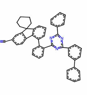 N#Cc1ccc2c(c1)C1(CCCCC1)c1cccc(-c3ccccc3-c3nc(-c4ccccc4)nc(-c4cccc(-c5ccccc5)c4)n3)c1-2